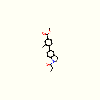 CCC(=O)N1CCc2cc(-c3ccc(C(=O)OC)cc3C)ccc21